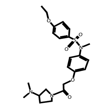 CCOc1ccc(S(=O)(=O)N(C)c2ccc(OCC(=O)N3CCC(N(C)C)C3)cc2)cc1